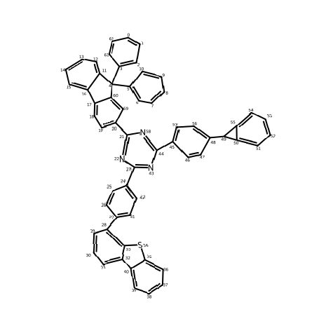 c1ccc(C2(c3ccccc3)c3ccccc3-c3ccc(-c4nc(-c5ccc(-c6cccc7c6sc6ccccc67)cc5)nc(-c5ccc(C6c7ccccc76)cc5)n4)cc32)cc1